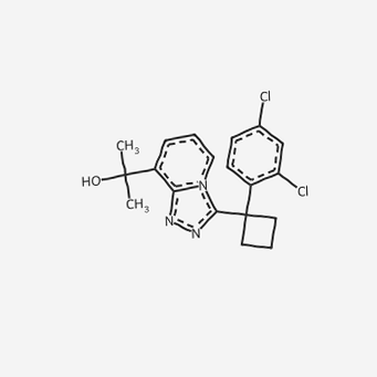 CC(C)(O)c1cccn2c(C3(c4ccc(Cl)cc4Cl)CCC3)nnc12